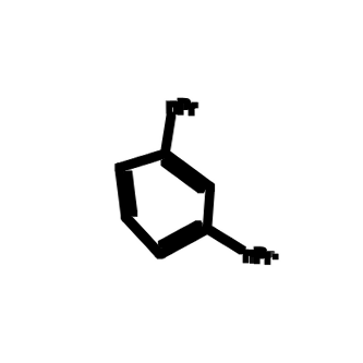 CC[CH]c1cccc(CCC)c1